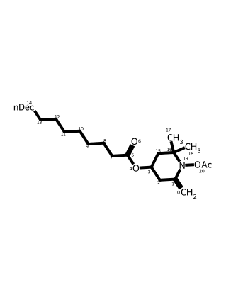 C=C1CC(OC(=O)CCCCCCCCCCCCCCCCC)CC(C)(C)N1OC(C)=O